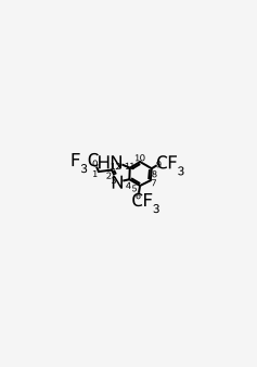 FC(F)(F)Cc1nc2c(C(F)(F)F)cc(C(F)(F)F)cc2[nH]1